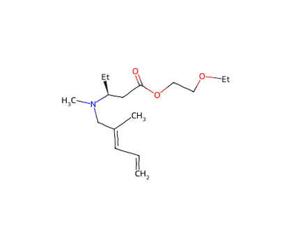 C=C/C=C(\C)CN(C)[C@@H](CC)CC(=O)OCCOCC